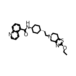 CCOc1nc2c(s1)CCN(CC[C@H]1CC[C@H](NC(=O)c3cccc4ncccc34)CC1)C2